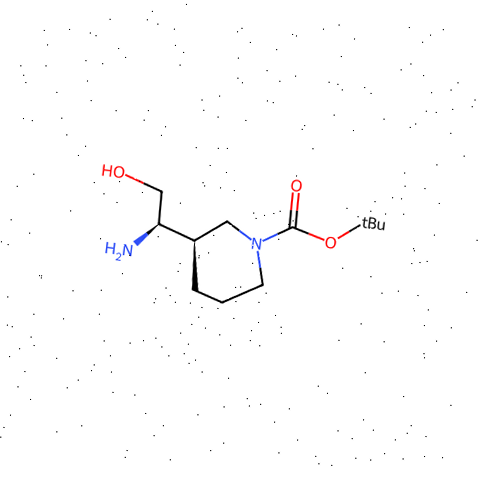 CC(C)(C)OC(=O)N1CCC[C@@H]([C@@H](N)CO)C1